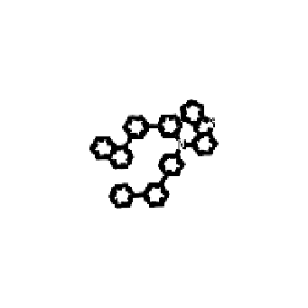 c1ccc(-c2cccc(-c3ccc(N(c4cccc(-c5cccc(-c6cccc7ccccc67)c5)c4)c4cccc5sc6ccccc6c45)cc3)c2)cc1